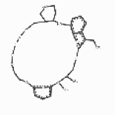 CC(C)(C)C1CCc2sc3c(cccc3c2CC(F)(F)F)NC2CCNCC2CCOCCOCCOc2cccc(c2)N1C(C)(C)C